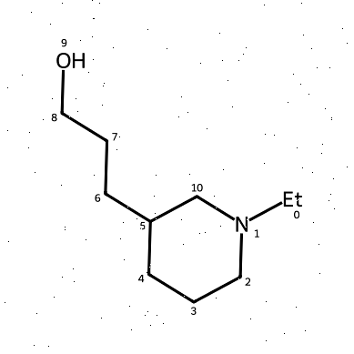 CCN1CCCC(CCCO)C1